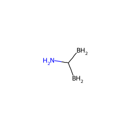 BC(B)N